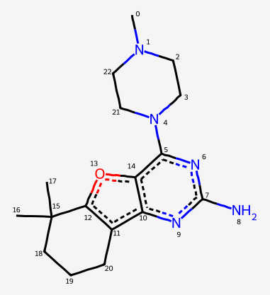 CN1CCN(c2nc(N)nc3c4c(oc23)C(C)(C)CCC4)CC1